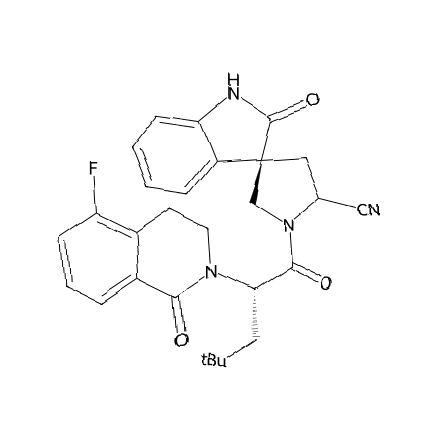 CC(C)(C)C[C@@H](C(=O)N1C[C@]2(CC1C#N)C(=O)Nc1ccccc12)N1CCc2c(F)cccc2C1=O